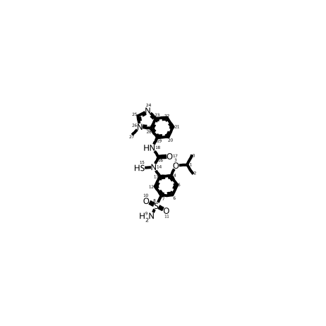 CC(C)Oc1ccc(S(N)(=O)=O)cc1N(S)C(=O)Nc1cccc2ncn(C)c12